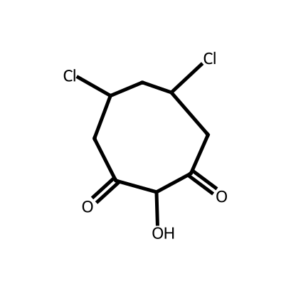 O=C1CC(Cl)CC(Cl)CC(=O)C1O